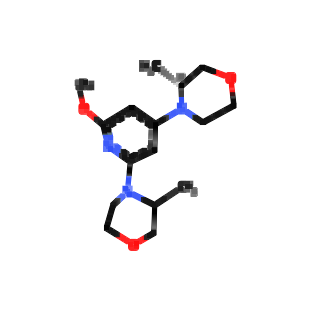 C[C@@H]1COCCN1c1cc(OC(C)(C)C)nc(N2CCOCC2C(F)(F)F)c1